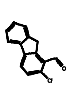 O=Cc1c(Cl)ccc2c1Cc1ccccc1-2